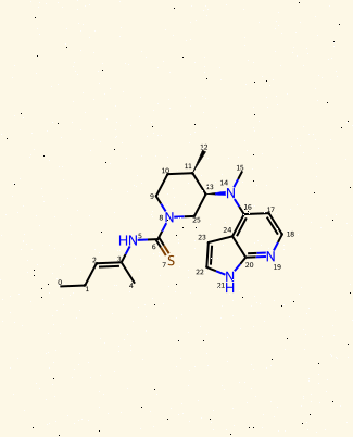 CC/C=C(\C)NC(=S)N1CC[C@@H](C)[C@@H](N(C)c2ccnc3[nH]ccc23)C1